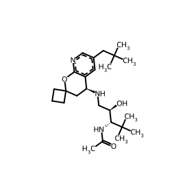 CC(=O)N[C@H]([C@H](O)CN[C@H]1CC2(CCC2)Oc2ncc(CC(C)(C)C)cc21)C(C)(C)C